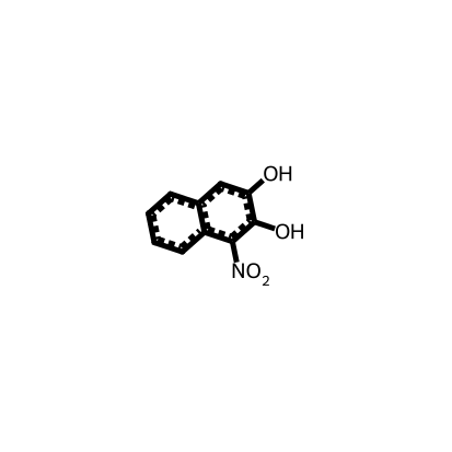 O=[N+]([O-])c1c(O)c(O)cc2ccccc12